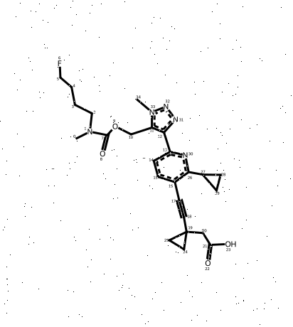 CN(CCCCF)C(=O)OCc1c(-c2ccc(C#CC3(CC(=O)O)CC3)c(C3CC3)n2)nnn1C